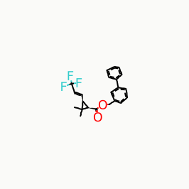 CC1(C)[C@H](C(=O)OCc2cccc(-c3ccccc3)c2)[C@@H]1/C=C/C(F)(F)F